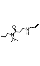 C=CCNCCC(=O)N(CC=C)N(C)C